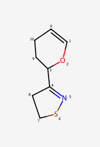 C1=COC(C2=NSCC2)CC1